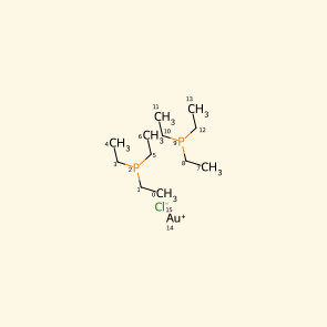 CCP(CC)CC.CCP(CC)CC.[Au+].[Cl-]